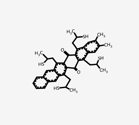 Cc1cc2c(CC(C)S)c3c(c(CC(C)S)c2cc1C)C(=O)c1c(c(CC(C)S)c2cc4ccccc4cc2c1CC(C)S)C3=O